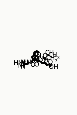 CC(C)(C)OC(=O)NC(CCCC(=O)O)C(=O)N1c2ncccc2CC1C(=O)NCc1nn[nH]n1